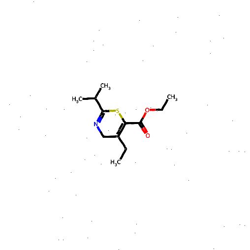 CCOC(=O)C1=C(CC)CN=C(C(C)C)S1